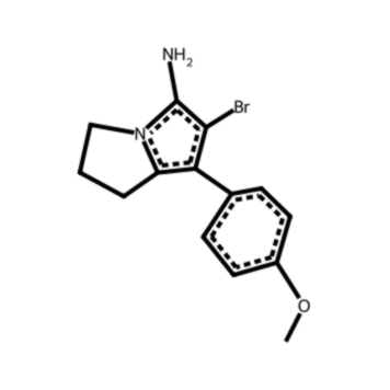 COc1ccc(-c2c(Br)c(N)n3c2CCC3)cc1